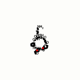 C[C@@]12CCCN(C1)C(=O)/C=C/C(=O)NCC[C@@H](C(=O)NCCOCCN)NC(=O)Cc1ccccc1CNC(=O)[C@H](Cc1ccco1)NC2=O